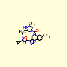 Cc1ccc2c(c1)N(C(=O)N1CC(C)NC(C)C1)Cc1c(-c3nc(C4CC4)no3)ncn1-2